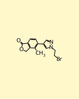 Cc1c(-c2cnn(CCBr)c2)ccc2c1COC2=O